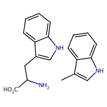 Cc1c[nH]c2ccccc12.NC(Cc1c[nH]c2ccccc12)C(=O)O